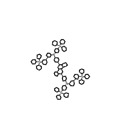 c1ccc([Si](c2ccccc2)(c2ccccc2)c2ccc(N(c3ccc(-c4cc5c6ccccc6c(-c6ccc(N(c7ccc([Si](c8ccccc8)(c8ccccc8)c8ccccc8)cc7)c7cccc(-c8cccc([Si](c9ccccc9)(c9ccccc9)c9ccccc9)c8)c7)cc6)cc5c5ccccc45)cc3)c3cccc(-c4cccc([Si](c5ccccc5)(c5ccccc5)c5ccccc5)c4)c3)cc2)cc1